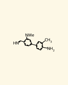 CNc1cc(-c2ccc(N)c(C)c2)ccc1C=N